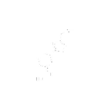 CBN1CCCC(c2nc(CN)no2)C1